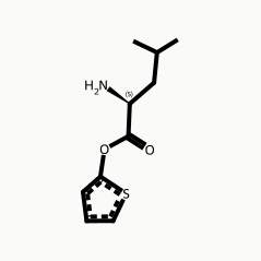 CC(C)C[C@H](N)C(=O)Oc1cccs1